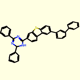 c1ccc(C2=NC(c3ccccc3)NC(c3ccc4c(c3)sc3ccc(-c5cccc(-c6ccccc6)c5)cc34)=N2)cc1